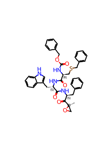 C[C@]1(C(=O)[C@H](Cc2ccccc2)NC(=O)[C@H](Cc2c[nH]c3ccccc23)NC(=O)[C@H](CSCc2ccccc2)NC(=O)OCc2ccccc2)CO1